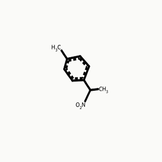 Cc1ccc(C(C)[N+](=O)[O-])cc1